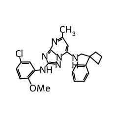 COc1ccc(Cl)cc1Nc1nc2nc(C)cc(NCC3(c4ccccc4)CCC3)n2n1